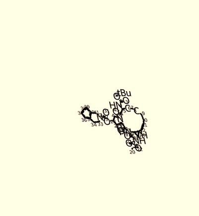 CC(C)(C)OC(=O)N[C@H]1CCCCC/C=C\[C@@H]2C[C@@]2(C(=O)NS(C)(=O)=O)NC(=O)[C@@H]2C[C@@H](OC(=O)N3CCc4ccccc4C3)CN2C1=O